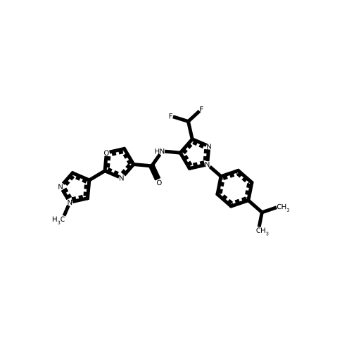 CC(C)c1ccc(-n2cc(NC(=O)c3coc(-c4cnn(C)c4)n3)c(C(F)F)n2)cc1